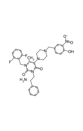 Cc1c(N2CCN(Cc3ccc(O)c([N+](=O)[O-])c3)CC2)c(=O)n(C[C@@H](N)c2ccccc2)c(=O)n1Cc1c(F)cccc1F